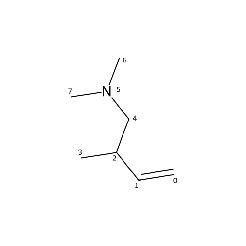 C=CC(C)CN(C)C